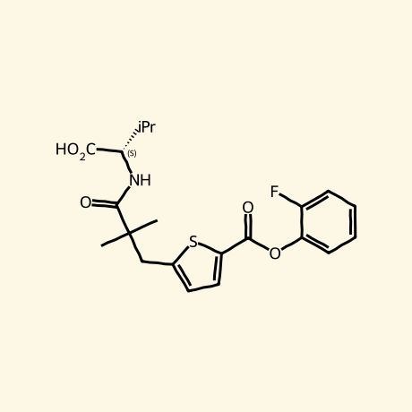 CC(C)[C@H](NC(=O)C(C)(C)Cc1ccc(C(=O)Oc2ccccc2F)s1)C(=O)O